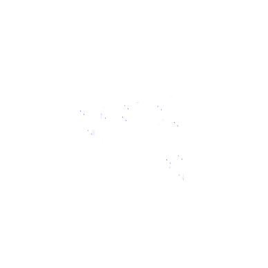 Cn1c2nc(Cn3cncn3)sc2c2cnn(Cc3ccnc(N)n3)c(=O)c21